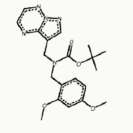 COc1ccc(CN(Cc2cnn3nccnc23)C(=O)OC(C)(C)C)c(OC)c1